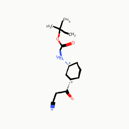 CC(C)(C)OC(=O)N[C@@H]1CCC[C@H](C(=O)CC#N)C1